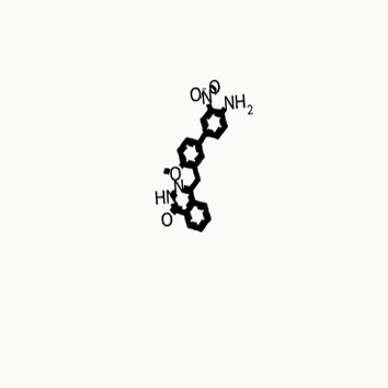 COc1ccc(-c2ccc(N)c([N+](=O)[O-])c2)cc1Cc1n[nH]c(=O)c2ccccc12